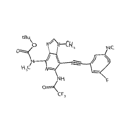 [C-]#[N+]c1cc(F)cc(C#Cc2c(NC(=O)C(F)(F)F)nc(N(C)C(=O)OC(C)(C)C)c3ncn(C)c23)c1